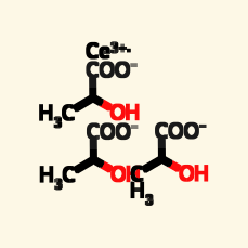 CC(O)C(=O)[O-].CC(O)C(=O)[O-].CC(O)C(=O)[O-].[Ce+3]